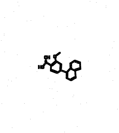 COc1cc(-c2cccc3ccccc23)ccc1B(O)O